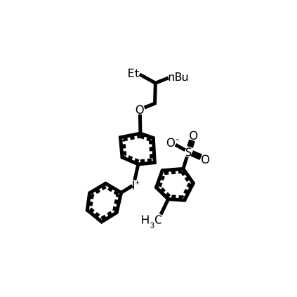 CCCCC(CC)COc1ccc([I+]c2ccccc2)cc1.Cc1ccc(S(=O)(=O)[O-])cc1